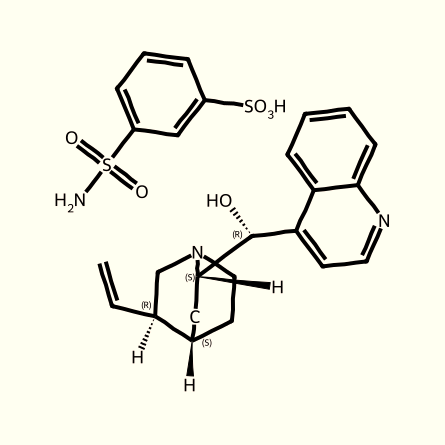 C=C[C@H]1CN2CC[C@H]1C[C@H]2[C@H](O)c1ccnc2ccccc12.NS(=O)(=O)c1cccc(S(=O)(=O)O)c1